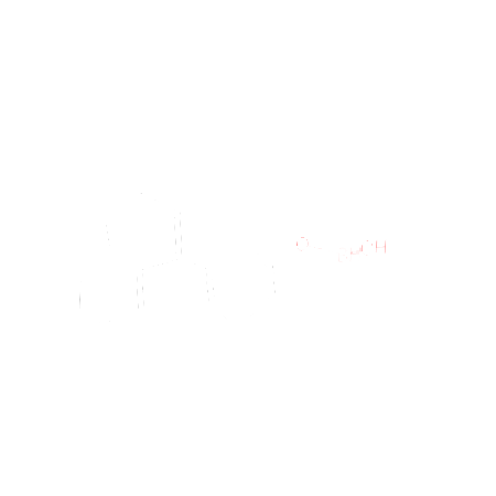 OBOc1cccc(-c2cccc3ccccc23)c1